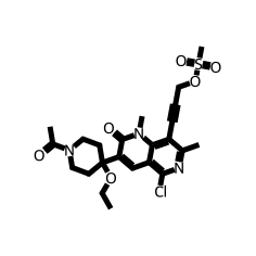 CCOC1(c2cc3c(Cl)nc(C)c(C#CCOS(C)(=O)=O)c3n(C)c2=O)CCN(C(C)=O)CC1